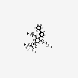 COCO[C@@H]1CN(C(=O)OC(C)(C)C)C[C@H](C(=O)OC)[C@H]1c1cccc(-c2ccccc2)c1